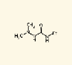 CCNC(=O)BN(C)C